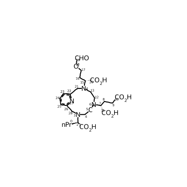 CCC[C@H](C(=O)O)N1CCN([C@H](CCC(=O)O)C(=O)O)CCN([C@H](CCOC=O)C(=O)O)Cc2cccc(n2)C1